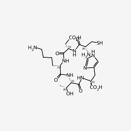 C[C@@H](O)[C@H](NC(=O)[C@H](CCCCN)NC(=O)[C@H](CC(=O)O)NC(=O)[C@@H](N)CS)C(=O)N[C@@H](Cc1c[nH]cn1)C(=O)O